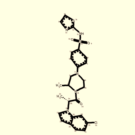 CC1CN(c2ccc(S(=O)(=O)Nc3nccs3)cc2)CCN1C(=O)[C@@H](C)n1ccc2ccc(Cl)cc21